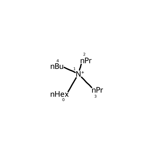 CCCCCC[N+](CCC)(CCC)CCCC